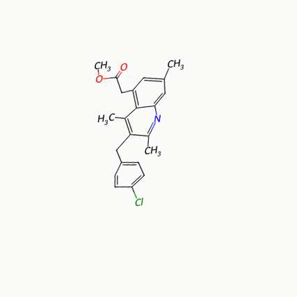 COC(=O)Cc1cc(C)cc2nc(C)c(Cc3ccc(Cl)cc3)c(C)c12